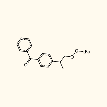 CC(COOC(C)(C)C)c1ccc(C(=O)c2ccccc2)cc1